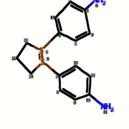 Nc1ccc(S2=S(c3ccc(N)cc3)CCC2)cc1